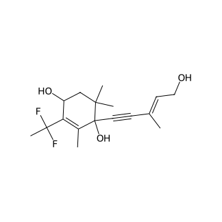 CC(C#CC1(O)C(C)=C(C(C)(F)F)C(O)CC1(C)C)=CCO